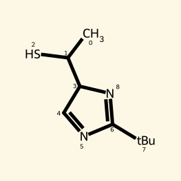 CC(S)C1C=NC(C(C)(C)C)=N1